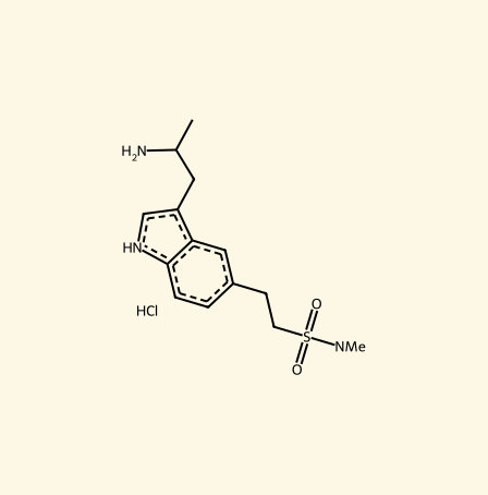 CNS(=O)(=O)CCc1ccc2[nH]cc(CC(C)N)c2c1.Cl